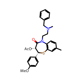 COc1ccc([C@H]2Sc3cc(C)ccc3N(CCN(C)Cc3ccccc3)C(=O)[C@H]2OC(C)=O)cc1